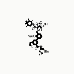 COc1c(CN2O[C@@H](CO)[C@@H]([C@H](C)O)[C@H]2C(=O)N[C@H]2C[C@@H](C)C(C)(C)[C@@H](C)[C@@H]2C)cccc1-c1cc2c(c(C(=O)N[C@H](CN(C)C)CC(C)(C)C)c1)OCC2